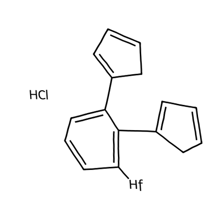 Cl.[Hf][c]1cccc(C2=CC=CC2)c1C1=CC=CC1